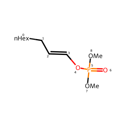 CCCCCCCC=COP(=O)(OC)OC